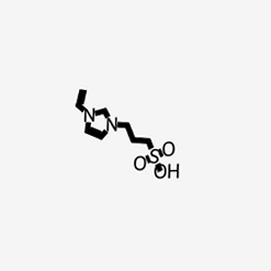 C=CN1C=CN(CCCS(=O)(=O)O)C1